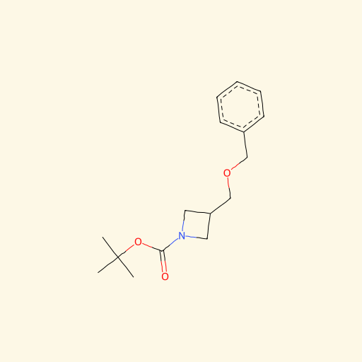 CC(C)(C)OC(=O)N1CC(COCc2ccccc2)C1